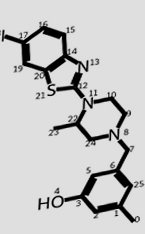 Cc1cc(O)cc(CN2CCN(c3nc4ccc(I)cc4s3)C(C)C2)c1